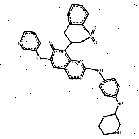 O=c1c(Nc2cccnc2)cc2cnc(Nc3ccc(NC4CCCNC4)cc3)nc2n1C1Cc2ccccc2S(=O)(=O)C1